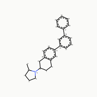 CC1CCCN1C1CCc2cc(-c3cccc(-c4ccccc4)c3)ccc2C1